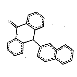 O=C1c2ccccc2C(c2ccc3ccccc3c2)c2ccccc21